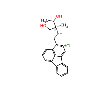 CC(O)[C@](C)(CO)NCc1ccc2c3c(cccc13)-c1ccccc1-2.Cl